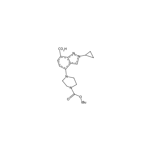 CC(C)(C)OC(=O)N1CCN(c2ccc(C(=O)O)c3nn(C4CC4)cc23)CC1